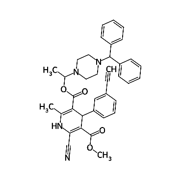 C#Cc1cccc(C2C(C(=O)OC(C)N3CCN(C(c4ccccc4)c4ccccc4)CC3)=C(C)NC(C#N)=C2C(=O)OC)c1